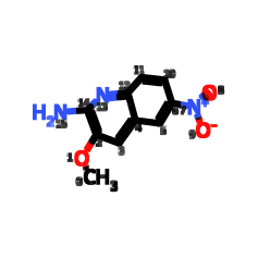 COc1cc2cc([N+](=O)[O-])ccc2nc1N